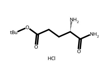 CC(C)(C)OC(=O)CC[C@H](N)C(N)=O.Cl